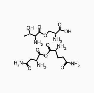 C[C@@H](O)[C@H](N)C(=O)OC[C@H](N)C(=O)O.NC(=O)CC[C@H](N)C(=O)OC(=O)[C@@H](N)CC(N)=O